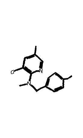 Cc1ccc(CN(C)c2ncc(C)cc2Cl)cc1